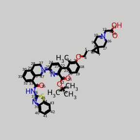 Cc1c(OCC[C@H]2CC23CCN(CC(=O)O)CC3)cccc1-c1ccc(N2CCc3cccc(C(=O)Nc4nc5ccccc5s4)c3C2)nc1C(=O)OC(C)(C)C